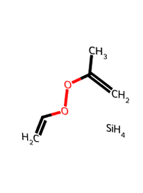 C=COOC(=C)C.[SiH4]